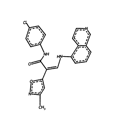 Cc1cc(C(=CNc2cccc3cnccc23)C(=O)Nc2ccc(Cl)cc2)on1